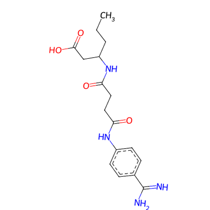 CCCC(CC(=O)O)NC(=O)CCC(=O)Nc1ccc(C(=N)N)cc1